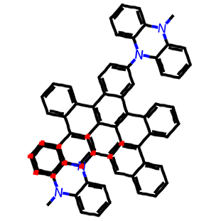 CN1c2ccccc2N(c2ccc3c(-c4ccccc4-c4cccc5ccccc45)c4cc(N5c6ccccc6N(C)c6ccccc65)ccc4c(-c4ccccc4-c4cccc5ccccc45)c3c2)c2ccccc21